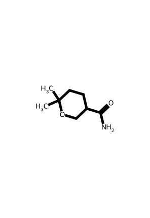 CC1(C)CCC(C(N)=O)CO1